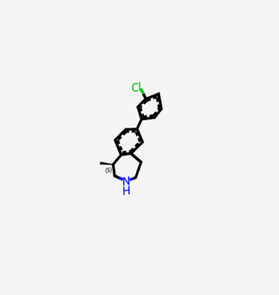 C[C@@H]1CNCCc2cc(-c3cccc(Cl)c3)ccc21